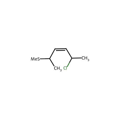 CSC(C)/C=C\C(C)Cl